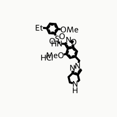 CCc1ccc(OC)c(S(=O)(=O)Nc2noc3cc(Cn4cc5c(n4)CCNC5)cc(OC)c23)c1.Cl